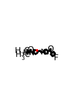 CN(C)C(=O)NC1CCC(CCN2CCC(C(=O)c3ccc(F)cc3)CC2)CC1